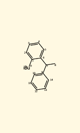 CCC(C)c1ccccc1C(C)c1ccccc1